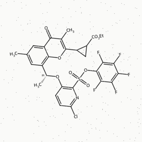 CCOC(=O)C1CC1c1oc2c([C@@H](C)Oc3ccc(Cl)nc3S(=O)(=O)Oc3c(F)c(F)c(F)c(F)c3F)cc(C)cc2c(=O)c1C